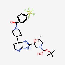 C[C@@H]1CN(C(O)OC(C)(C)C)C[C@H](c2nc3c(C4CCN(C(=O)c5ccc(S(F)(F)(F)(F)F)cc5)CC4)ccnc3[nH]2)O1